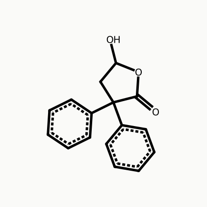 O=C1OC(O)CC1(c1ccccc1)c1ccccc1